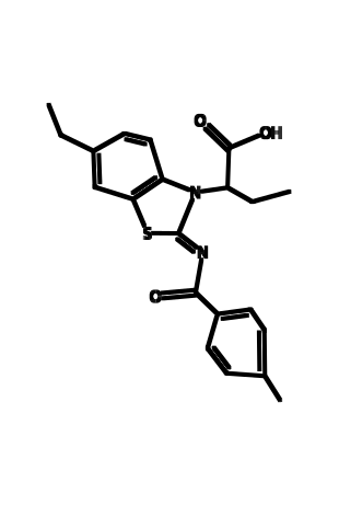 CCc1ccc2c(c1)sc(=NC(=O)c1ccc(C)cc1)n2C(CC)C(=O)O